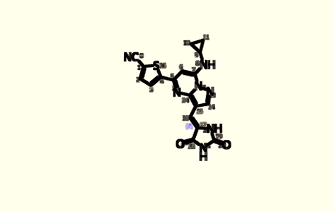 N#Cc1ccc(-c2cc(NC3CC3)n3ncc(/C=C4\NC(=O)NC4=O)c3n2)s1